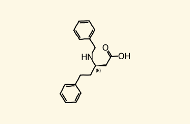 O=C(O)C[C@@H](CCc1ccccc1)NCc1ccccc1